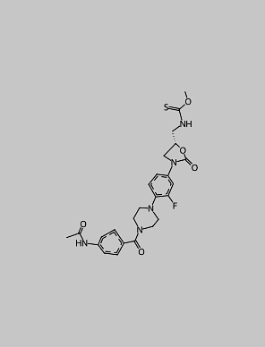 COC(=S)NC[C@H]1CN(c2ccc(N3CCN(C(=O)c4ccc(NC(C)=O)cc4)CC3)c(F)c2)C(=O)O1